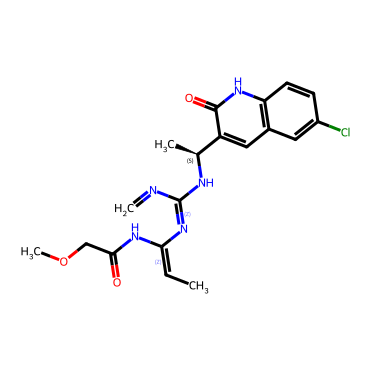 C=N/C(=N\C(=C/C)NC(=O)COC)N[C@@H](C)c1cc2cc(Cl)ccc2[nH]c1=O